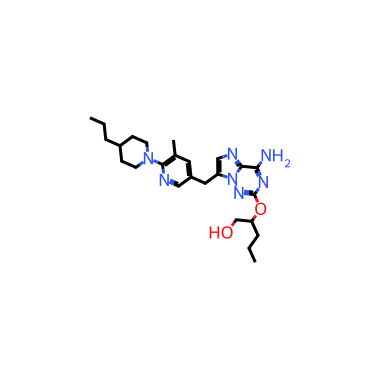 CCCC1CCN(c2ncc(Cc3cnc4c(N)nc(OC(CO)CCC)nn34)cc2C)CC1